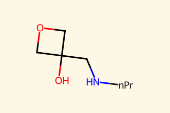 CCCNCC1(O)COC1